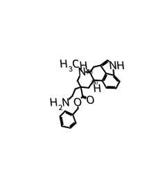 CN1CC(CCN)(C(=O)OCc2ccccc2)C[C@@H]2c3cccc4[nH]cc(c34)C[C@H]21